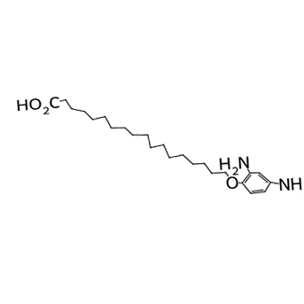 Nc1ccc(OCCCCCCCCCCCCCCCCCC(=O)O)c(N)c1